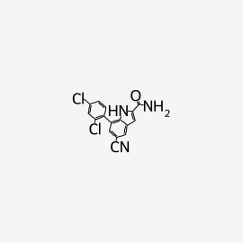 N#Cc1cc(-c2ccc(Cl)cc2Cl)c2[nH]c(C(N)=O)cc2c1